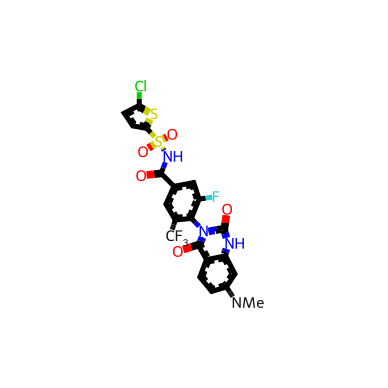 CNc1ccc2c(=O)n(-c3c(F)cc(C(=O)NS(=O)(=O)c4ccc(Cl)s4)cc3C(F)(F)F)c(=O)[nH]c2c1